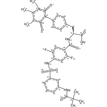 Cc1c(C)n(C)c(=O)n(-c2ccc(C[C@H](NC(=O)c3cc(F)c(NS(=O)(=O)c4cccc(NC(=O)C(C)(C)C)c4)cc3F)C(=O)O)cc2)c1=O